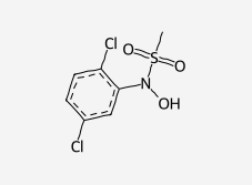 CS(=O)(=O)N(O)c1cc(Cl)ccc1Cl